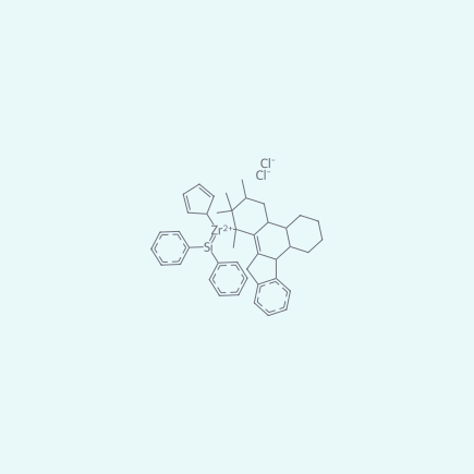 CC1CC2C(=C3Cc4ccccc4C3C3CCCCC23)[C](C)([Zr+2]([CH]2C=CC=C2)=[Si](c2ccccc2)c2ccccc2)C1(C)C.[Cl-].[Cl-]